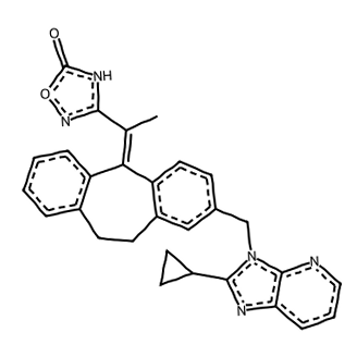 C/C(=C1/c2ccccc2CCc2cc(Cn3c(C4CC4)nc4cccnc43)ccc21)c1noc(=O)[nH]1